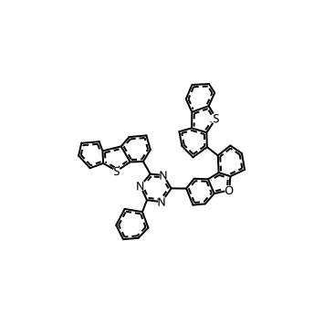 c1ccc(-c2nc(-c3ccc4oc5cccc(-c6cccc7c6sc6ccccc67)c5c4c3)nc(-c3cccc4c3sc3ccccc34)n2)cc1